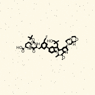 CCn1c(-c2cc(N3CCN4CCOC[C@@H]4C3)cnc2[C@H](C)OC)c(CC(C)(C)CO)c2cc(-c3cc(CF)cc(C[C@H](NC(=O)OC(C)(C)C)C(=O)N4CCC[C@@H](C(=O)O)N4)c3)ccc21